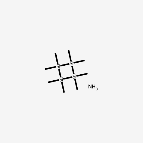 C[Si]1(C)[Si](C)(C)[Si](C)(C)[Si]1(C)C.N